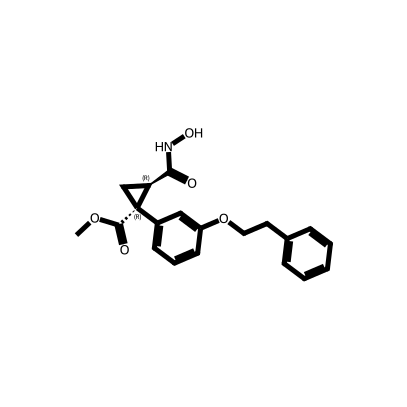 COC(=O)[C@]1(c2cccc(OCCc3ccccc3)c2)C[C@H]1C(=O)NO